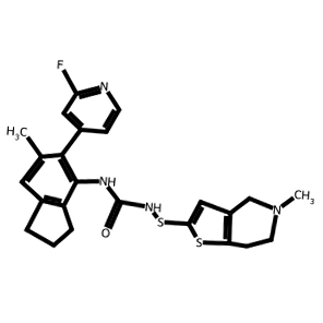 Cc1cc2c(c(NC(=O)NSc3cc4c(s3)CCN(C)C4)c1-c1ccnc(F)c1)CCC2